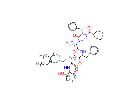 CCN(CCCC[C@H](NC(=O)C(Cc1ccccc1)NC(=O)[C@H](C)NC(=O)C(Cc1ccccc1)NC(=O)C1CCCCC1)C(=O)NC(C(C)=O)[C@@H](C)O)C(C)C